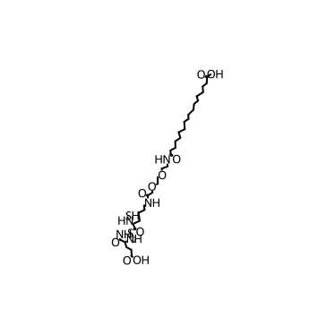 NC(=O)C(CCC(=O)O)NSC(=O)C(CCCCNC(=O)COCCOCCNC(=O)CCCCCCCCCCCCCCCCC(=O)O)NS